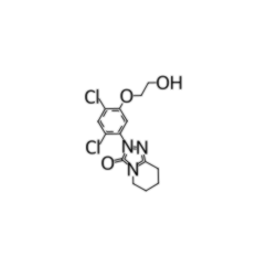 O=c1n(-c2cc(OCCO)c(Cl)cc2Cl)nc2n1CCCC2